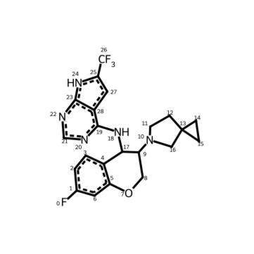 Fc1ccc2c(c1)OCC(N1CCC3(CC3)C1)C2Nc1ncnc2[nH]c(C(F)(F)F)cc12